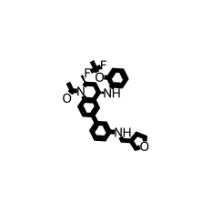 CC(=O)N1c2ccc(-c3cccc(NCC4CCOC4)c3)cc2[C@H](Nc2ccccc2OC(C)(F)F)C[C@@H]1C